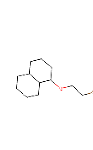 [S]CCOC1CCCC2CCCCC21